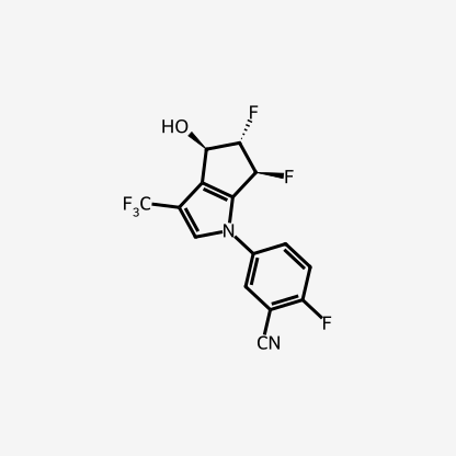 N#Cc1cc(-n2cc(C(F)(F)F)c3c2[C@H](F)[C@@H](F)[C@@H]3O)ccc1F